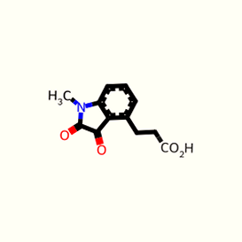 CN1C(=O)C(=O)c2c(CCC(=O)O)cccc21